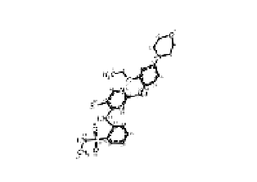 CCOc1cc(N2CCOCC2)ccc1Nc1ncc(Br)c(Nc2ccccc2S(=O)(=O)NC)n1